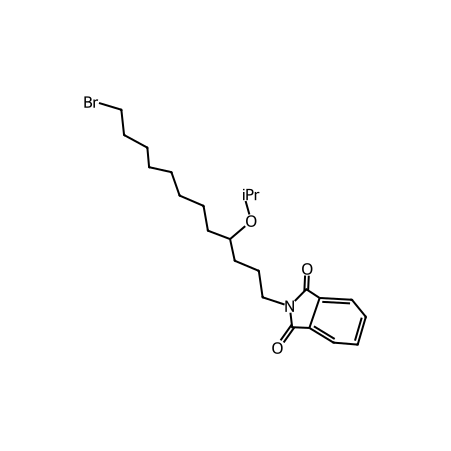 CC(C)OC(CCCCCCCCBr)CCCN1C(=O)c2ccccc2C1=O